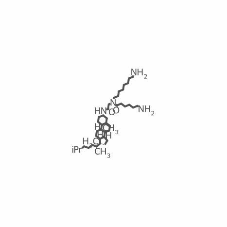 CC(C)CCC[C@@H](C)[C@H]1CC[C@H]2[C@@H]3CC=C4C[C@@H](NC(=O)CN(CCCCCCCCN)C(=O)CCCCCN)CC[C@]4(C)[C@H]3CC[C@]12C